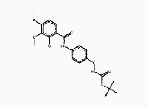 COc1ccc(C(=O)Nc2ccc(ONC(=O)OC(C)(C)C)cc2)c(Cl)c1OC